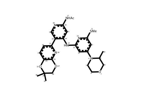 CSc1cc(N2CCOCC2C)cc(Nc2cc(NC(C)=O)ncc2-c2ccc3c(n2)OCC(C)(C)O3)n1